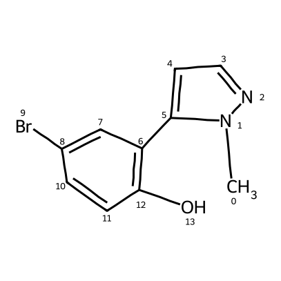 Cn1nccc1-c1cc(Br)ccc1O